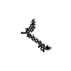 COc1ncc(-c2ccnc(N3CCn4c(cc5c4CC(C)(C)C5)C3=O)c2C(C)O)cc1Nc1ccc(N2CCN(C3CCN(c4ccc5c(c4)C(=O)N([C@H]4CCC(=O)N(COP(=O)(O)O)C4=O)C5=O)CC3)C[C@@H]2C)cn1